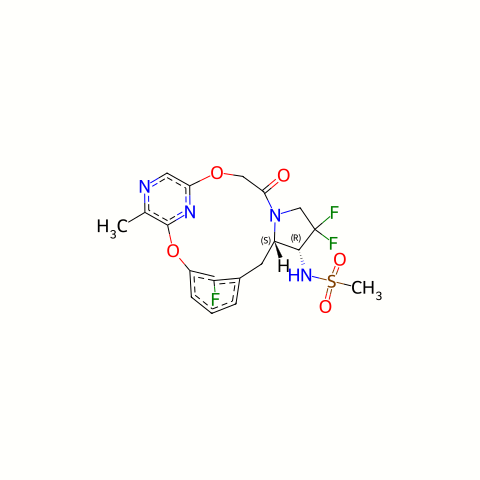 Cc1ncc2nc1Oc1cccc(c1F)C[C@H]1[C@@H](NS(C)(=O)=O)C(F)(F)CN1C(=O)CO2